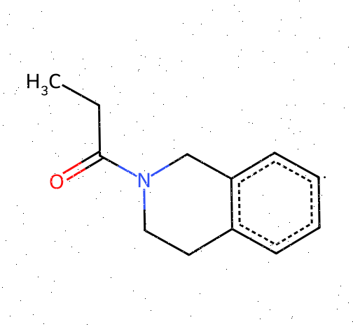 CCC(=O)N1CCc2cc[c]cc2C1